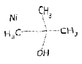 CC(C)(C)O.[Ni]